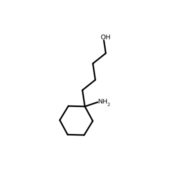 NC1(CCCCO)CCCCC1